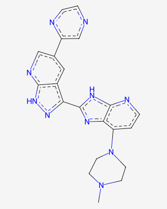 CN1CCN(c2ccnc3[nH]c(-c4n[nH]c5ncc(-c6cnccn6)cc45)nc23)CC1